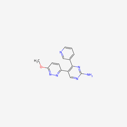 COc1ccc(-c2cnc(N)nc2-c2cccnc2)nn1